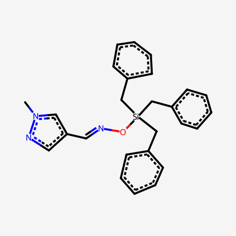 Cn1cc(C=NO[Si](Cc2ccccc2)(Cc2ccccc2)Cc2ccccc2)cn1